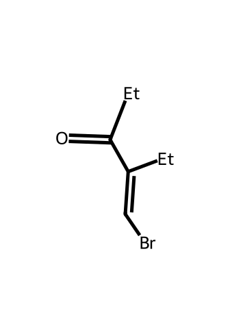 CCC(=O)/C(=C/Br)CC